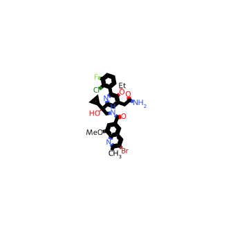 CCOc1c(CC(N)=O)cc([C@@](O)(CNC(=O)c2cc(OC)c3nc(C)c(Br)cc3c2)C2CC2)nc1-c1cccc(F)c1Cl